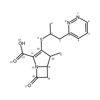 CC(Cc1cccnn1)SC1=C(C(=O)O)N2C(=O)CC2C1C